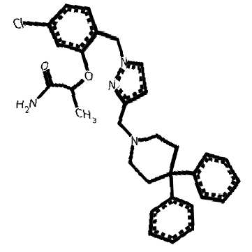 CC(Oc1cc(Cl)ccc1Cn1ccc(CN2CCC(c3ccccc3)(c3ccccc3)CC2)n1)C(N)=O